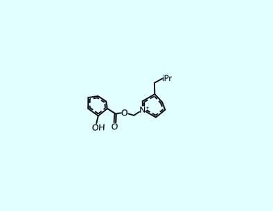 CC(C)Cc1ccc[n+](COC(=O)c2ccccc2O)c1